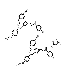 CCCOc1ccc(C(Cn2cc[n+](CCNc3ccc(Cl)cc3)c2)OCCc2ccc(C#N)cc2)cc1.CCCOc1ccc(C(Cn2cc[n+](CCNc3ccc(Cl)cc3)c2)OCCc2ccc(C#N)cc2)cc1.O=C([O-])CC(=O)[O-]